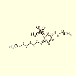 CCCCCCCC[n+]1ccc(CCCC)cc1.CS(=O)(=O)[O-]